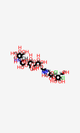 CC1O[C@H](O[C@@H]2C(CO)O[C@H](O[C@@H]3C(CO)O[C@@H](OCc4cn(C[C@H]5O[C@@](CCl)(O[C@H]6C[C@H](CCO)[C@H](Cl)[C@H](O)[C@H]6O)[C@@H](O)[C@H]5O)nn4)C(O)C3O)C(O)C2O)C(O)C[C@@H]1N[C@H]1C=C(CO)[C@@H](O)[C@H](O)[C@H]1O